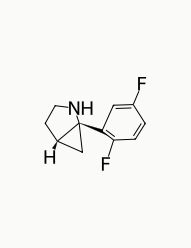 Fc1ccc(F)c([C@@]23C[C@@H]2CCN3)c1